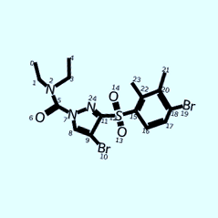 CCN(CC)C(=O)n1cc(Br)c(S(=O)(=O)c2ccc(Br)c(C)c2C)n1